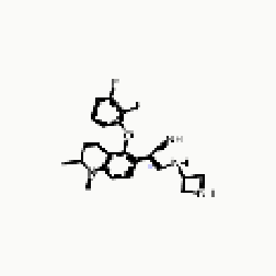 CC1CCc2c(ccc(/C(C=N)=C/NC3CNC3)c2Oc2cccc(F)c2F)N1C